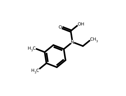 CCN(C(=O)O)c1ccc(C)c(C)c1